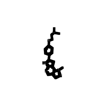 CN(C)CCOc1ccc(-c2cc3c(ncc4cnn(C)c43)[nH]2)cc1